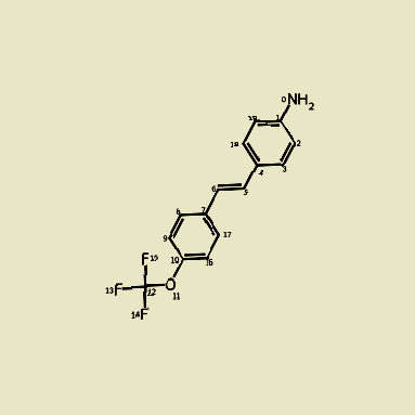 Nc1ccc(/C=C/c2ccc(OC(F)(F)F)cc2)cc1